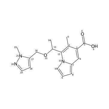 Cc1c(C(=O)O)cc2cccn2c1C(C)OCc1ccnn1C